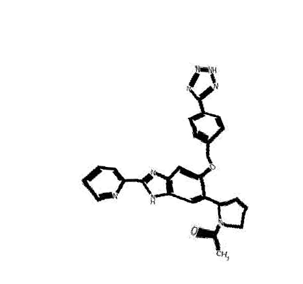 CC(=O)N1CCCC1c1cc2[nH]c(-c3ccccn3)nc2cc1Oc1ccc(-c2nn[nH]n2)cc1